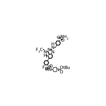 CC(C)(C)OC(=O)N1CCC(NS(=O)(=O)c2cc(-c3ccc4nc(NCc5ccc(S(N)(=O)=O)cc5)nc(NCC(F)(F)F)c4n3)ccc2F)CC1